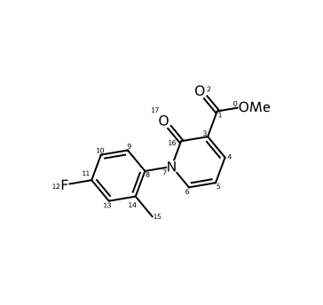 COC(=O)c1cccn(-c2ccc(F)cc2C)c1=O